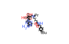 CC(C)N(CCCCC(=O)NC(=O)Cc1ccc(C(C)(C)C)cc1)C[C@H]1O[C@@H](n2cnc3c(N)ncnc32)[C@H](O)[C@@H]1O